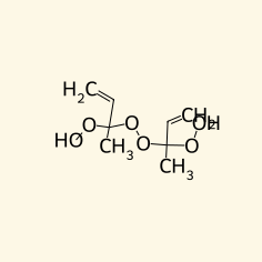 C=CC(C)(OO)OOC(C)(C=C)OO